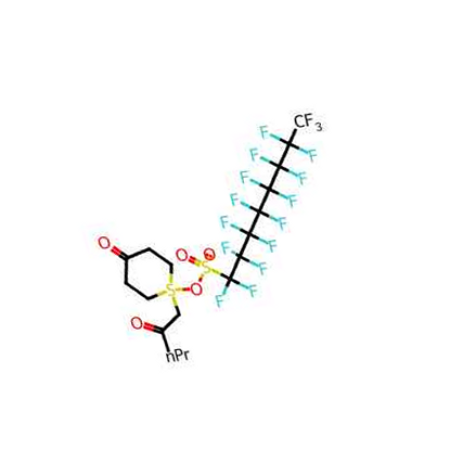 CCCC(=O)CS1(OS(=O)(=O)C(F)(F)C(F)(F)C(F)(F)C(F)(F)C(F)(F)C(F)(F)C(F)(F)C(F)(F)F)CCC(=O)CC1